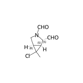 CC1(Cl)[C@@H]2[C@@H](C=O)N(C=O)C[C@@H]21